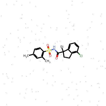 CCC1(C(=O)NS(=O)(=O)c2ccc(C)cc2C)CCc2c(Cl)cccc21